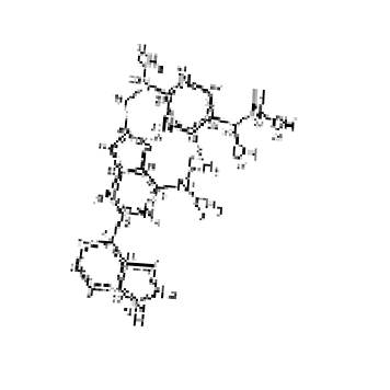 CN(C)c1nc(-c2cccc3[nH]ncc23)nc2cc(CN(C)c3ncc(C(O)NO)cn3)sc12